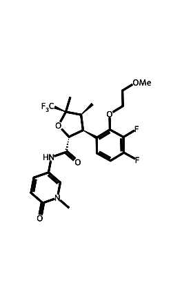 COCCOc1c([C@H]2[C@H](C(=O)Nc3ccc(=O)n(C)c3)O[C@@](C)(C(F)(F)F)[C@H]2C)ccc(F)c1F